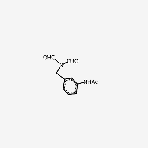 CC(=O)Nc1cccc(CN(C=O)C=O)c1